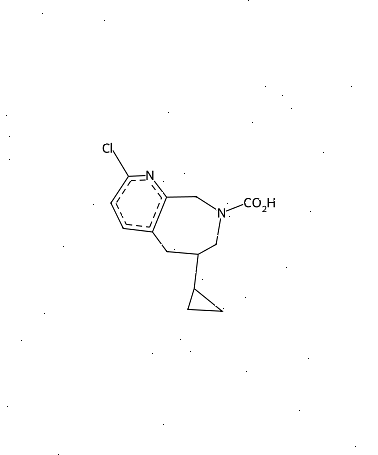 O=C(O)N1Cc2nc(Cl)ccc2CC(C2CC2)C1